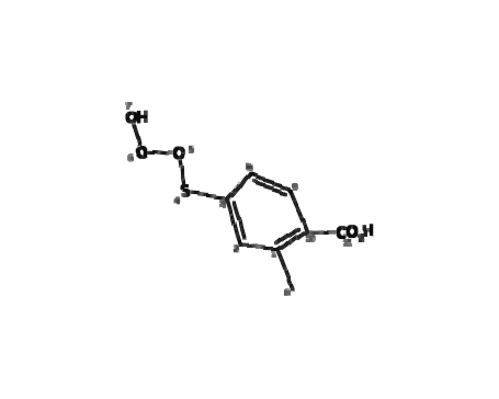 Cc1cc(SOOO)ccc1C(=O)O